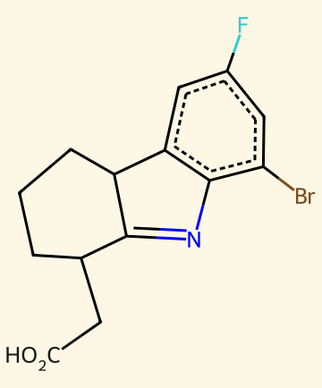 O=C(O)CC1CCCC2C1=Nc1c(Br)cc(F)cc12